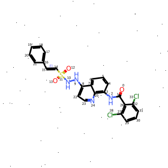 O=C(Nc1cccc2c(NNS(=O)(=O)/C=C/c3ccccc3)ccnc12)c1c(Cl)cccc1Cl